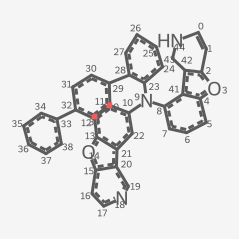 C1=Cc2oc3cccc(N(c4ccc5oc6ccncc6c5c4)c4ccccc4-c4ccc(-c5ccccc5)cc4)c3c2CN1